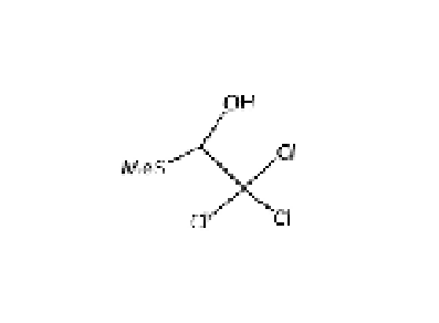 CSC(O)C(Cl)(Cl)Cl